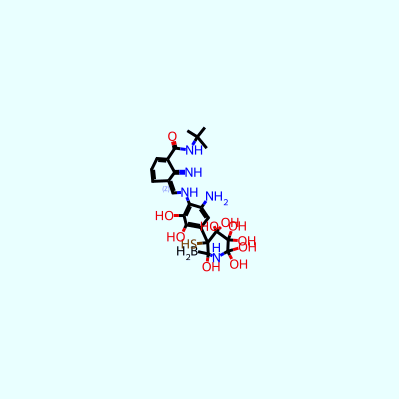 BC1(O)NC(O)(O)C(O)(O)C(O)(O)C1(S)c1cc(N)c(N/C=C2/C=CC=C(C(=O)NC(C)(C)C)C2=N)c(O)c1O